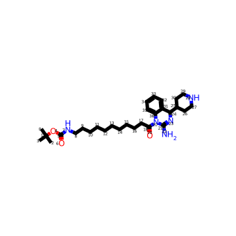 CC(C)(C)OC(=O)NCCCCCCCCCCC(=O)N1C(N)=NC(C2CCNCC2)c2ccccc21